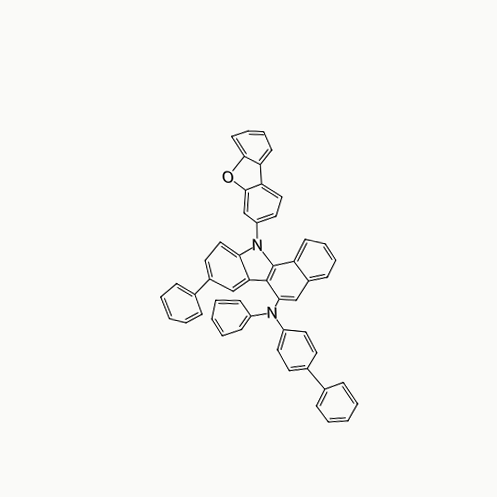 c1ccc(-c2ccc(N(c3ccccc3)c3cc4ccccc4c4c3c3cc(-c5ccccc5)ccc3n4-c3ccc4c(c3)oc3ccccc34)cc2)cc1